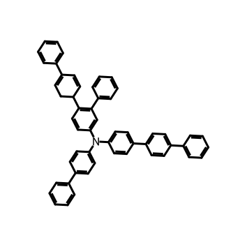 C1=CC(c2ccc(N(c3ccc(-c4ccccc4)cc3)c3ccc(-c4ccc(-c5ccccc5)cc4)cc3)cc2-c2ccccc2)CC=C1c1ccccc1